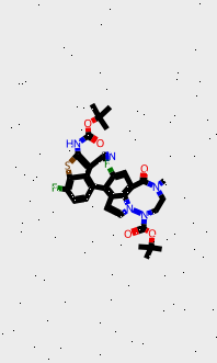 CN1CCN(C(=O)OC(C)(C)C)n2ccc3c(-c4ccc(F)c5sc(NC(=O)OC(C)(C)C)c(C#N)c45)c(F)cc(c32)C1=O